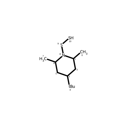 CC1CC(C(C)(C)C)CC(C)N1SS